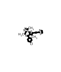 Cc1c(C#Cc2nccs2)sc2c1C(c1ccc(Cl)cc1)=N[C@@H](C)c1nnc(C)n1-2